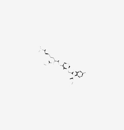 COC(=O)NC(CC/C=C/C(=O)N(C)C)C(=O)Nc1cncn(Cc2nc3cc(F)ccc3n2C(=O)OC)c1=O